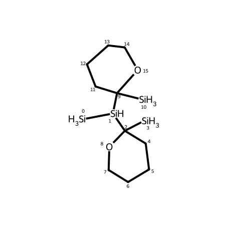 [SiH3][SiH](C1([SiH3])CCCCO1)C1([SiH3])CCCCO1